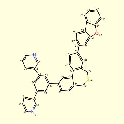 c1cncc(-c2cc(-c3cccnc3)cc(-c3ccc4c(c3)-c3ccc(-c5ccc6c(c5)oc5ccccc56)cc3CSC4)c2)c1